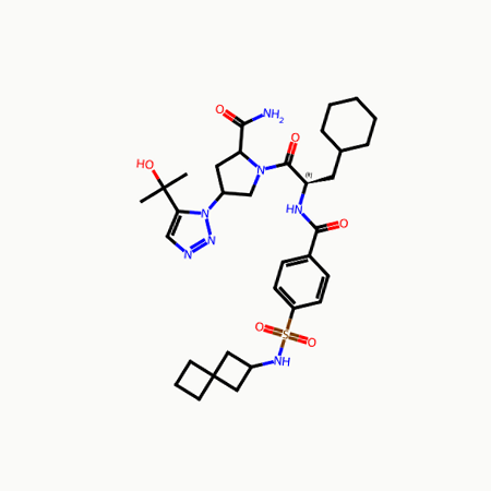 CC(C)(O)c1cnnn1C1CC(C(N)=O)N(C(=O)[C@@H](CC2CCCCC2)NC(=O)c2ccc(S(=O)(=O)NC3CC4(CCC4)C3)cc2)C1